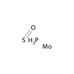 O=S.P.[Mo]